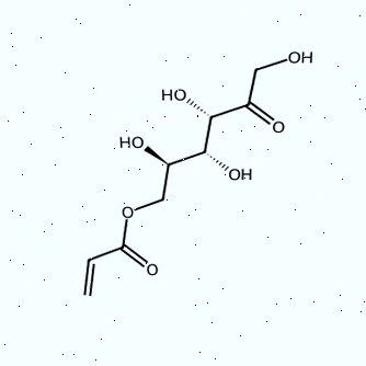 C=CC(=O)OC[C@@H](O)[C@@H](O)[C@H](O)C(=O)CO